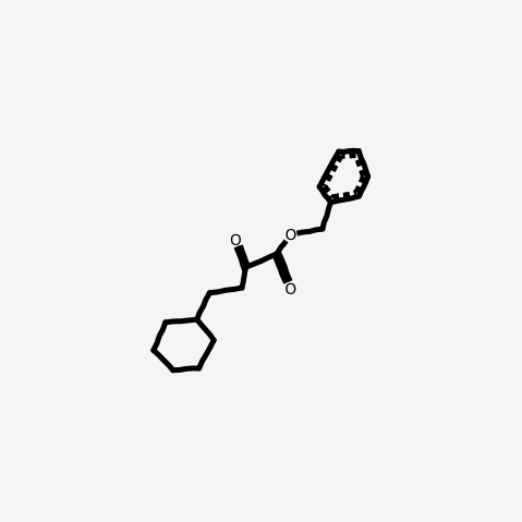 O=C(CCC1CCCCC1)C(=O)OCc1ccccc1